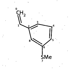 C=Cc1cccc(SC)c1